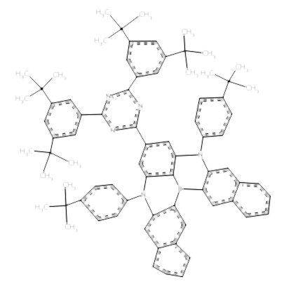 CC(C)(C)c1ccc(N2c3cc4ccccc4cc3B3c4cc5ccccc5cc4N(c4ccc(C(C)(C)C)cc4)c4cc(-c5nc(-c6cc(C(C)(C)C)cc(C(C)(C)C)c6)nc(-c6cc(C(C)(C)C)cc(C(C)(C)C)c6)n5)cc2c43)cc1